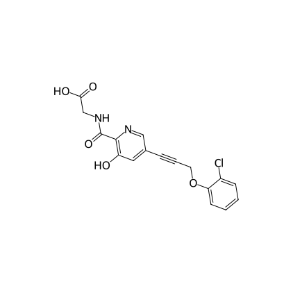 O=C(O)CNC(=O)c1ncc(C#CCOc2ccccc2Cl)cc1O